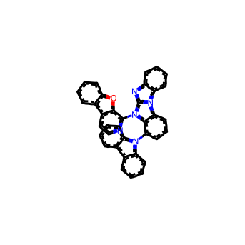 c1ccc2c(c1)nc1n(-c3nccc4c3oc3ccccc34)c3c(-n4c5ccccc5c5ccccc54)cccc3n21